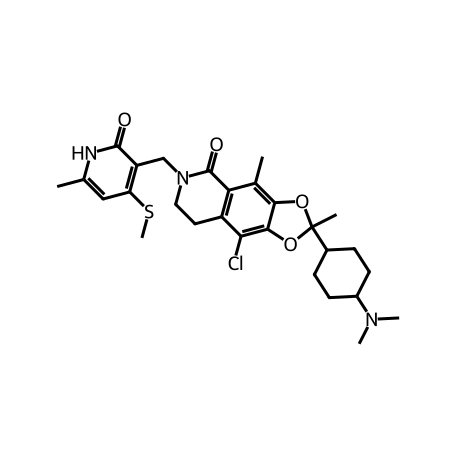 CSc1cc(C)[nH]c(=O)c1CN1CCc2c(Cl)c3c(c(C)c2C1=O)OC(C)(C1CCC(N(C)C)CC1)O3